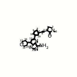 CN1CC[C@H](C#Cc2cccc(-c3cc(C4CCOCC4)c4ncnc(N)c4n3)c2)C1=O